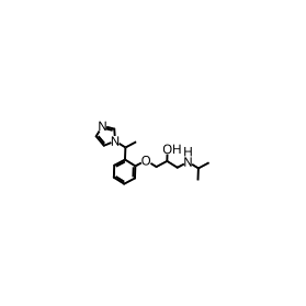 CC(C)NCC(O)COc1ccccc1C(C)n1ccnc1